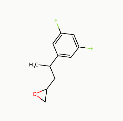 CC(CC1CO1)c1cc(F)cc(F)c1